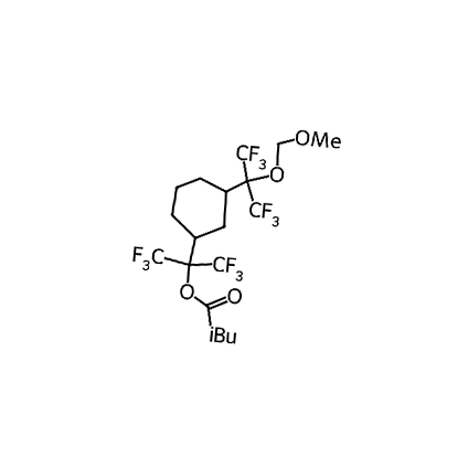 CCC(C)C(=O)OC(C1CCCC(C(OCOC)(C(F)(F)F)C(F)(F)F)C1)(C(F)(F)F)C(F)(F)F